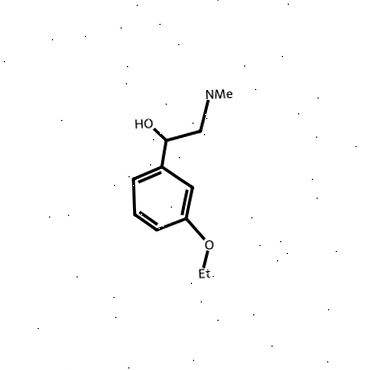 CCOc1cccc(C(O)CNC)c1